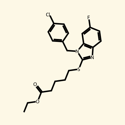 CCOC(=O)CCCCSc1nc2ccc(F)cc2n1Cc1ccc(Cl)cc1